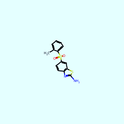 Cc1ccccc1S(=O)(=O)c1ccc2nc(N)sc2c1